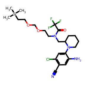 C[Si](C)(C)CCOCOCCN(CC1CCCCN1c1cc(Cl)c(C#N)cc1N)C(=O)C(F)(F)F